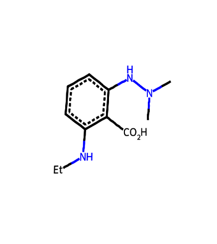 CCNc1cccc(NN(C)C)c1C(=O)O